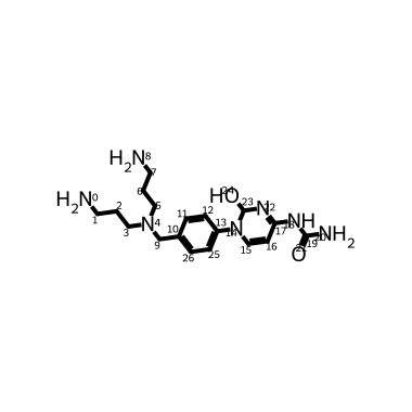 NCCCN(CCCN)Cc1ccc(N2C=CC(NC(N)=O)=NC2O)cc1